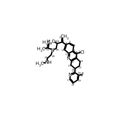 C=C(c1ccc2c(Cl)c3c(nc2c1)CC(c1ncccc1F)CC3)C(C)CN(CCNC)C(=C)C